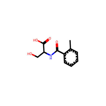 Cc1ccccc1C(=O)NC(CO)C(=O)O